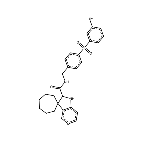 CC(C)c1cccc(S(=O)(=O)c2ccc(CNC(=O)C3Nc4ccncc4C34CCCCCC4)cc2)c1